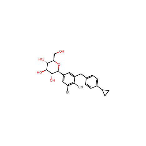 CCc1cc([C@@H]2O[C@H](CO)[C@@H](O)[C@H](O)[C@H]2O)cc(Cc2ccc(C3CC3)cc2)c1C#N